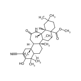 COC(=O)C12CCC(C)(C)C[C@H]1[C@H]1NC(=O)C[C@@H]3[C@@]4(C)CC(C#N)=C(O)C(C)(C)[C@@H]4CC[C@@]3(C)[C@]1(C)CC2